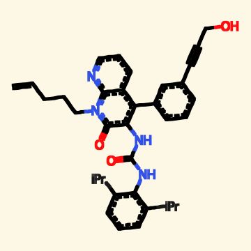 C=CCCCn1c(=O)c(NC(=O)Nc2c(C(C)C)cccc2C(C)C)c(-c2cccc(C#CCO)c2)c2cccnc21